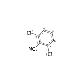 N#Cc1c(Cl)[c]ccc1Cl